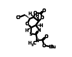 CN(C(=O)OC(C)(C)C)C1=N[C@@H]2[C@H]3OC(=O)O[C@@H]3[C@@H](CCl)O[C@@H]2S1